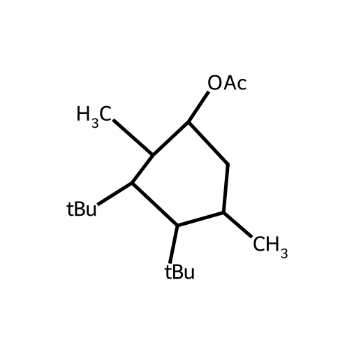 CC(=O)OC1CC(C)C(C(C)(C)C)C(C(C)(C)C)C1C